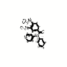 O=C(c1ccc([N+](=O)[O-])c([N+](=O)[O-])c1)N(c1ccccc1)c1ccncc1